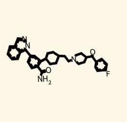 NC(=O)c1ccc(-c2nncc3ccccc23)cc1C1CCC(CCN2CCC(C(=O)c3ccc(F)cc3)CC2)CC1